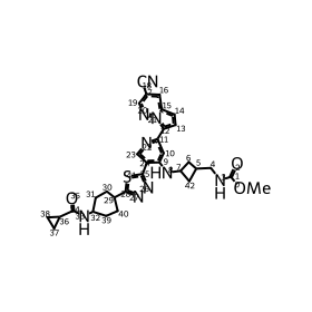 COC(=O)NCC1CC(Nc2cc(-c3ccc4cc(C#N)cnn34)ncc2-c2nnc(C3CCC(NC(=O)C4CC4)CC3)s2)C1